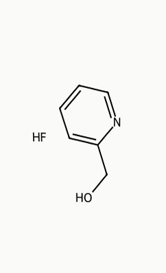 F.OCc1ccccn1